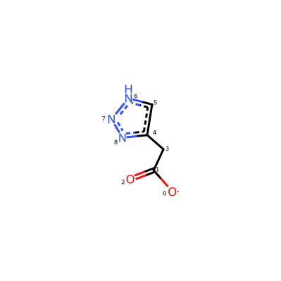 [O]C(=O)Cc1c[nH]nn1